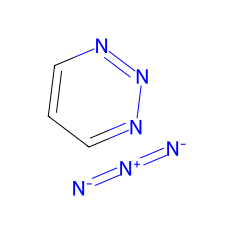 [N-]=[N+]=[N-].c1cnnnc1